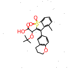 Cc1cccc2c1C(c1ccc3c(c1)CCCO3)=C(C(OC(C)(C)C)C(=O)O)S2(=O)=O